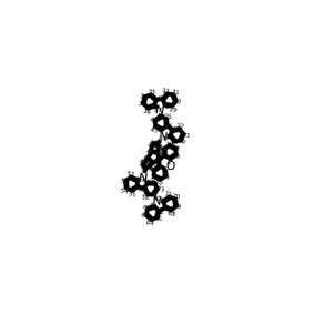 c1ccc2c(c1)Oc1ccccc1C21c2cc(-n3c4ccccc4c4cc(-n5c6ccccc6c6ccccc65)ccc43)ccc2-c2ccc(-n3c4ccccc4c4cc(-n5c6ccccc6c6ccccc65)ccc43)cc21